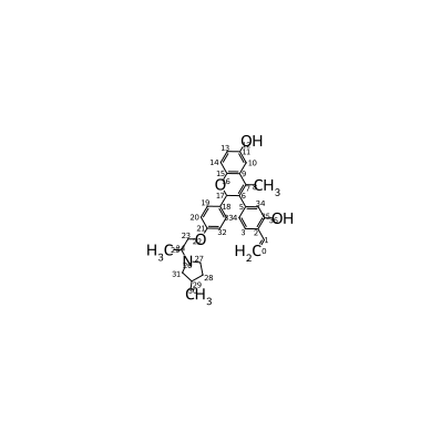 C=Cc1ccc(C2=C(C)c3cc(O)ccc3OC2c2ccc(OCC(C)N3CCC(C)C3)cc2)cc1O